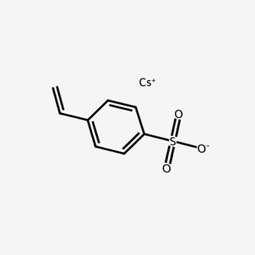 C=Cc1ccc(S(=O)(=O)[O-])cc1.[Cs+]